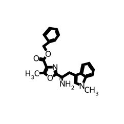 Cc1oc([C@H](N)Cc2cn(C)c3ccccc23)nc1C(=O)OCc1ccccc1